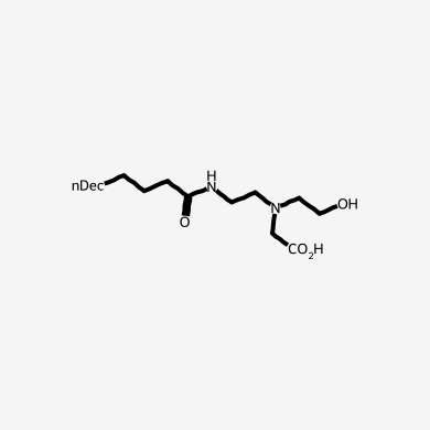 CCCCCCCCCCCCCC(=O)NCCN(CCO)CC(=O)O